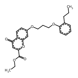 CCCc1ccccc1OCCCOc1ccc2c(=O)cc(C(=O)OCC)oc2c1